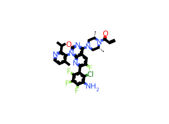 C=CC(=O)N1[C@H](C)CN(c2nc(=O)n(-c3c(C)ccnc3C(C)C)c3nc(-c4c(F)c(F)c(F)c(N)c4Cl)c(F)cc23)C[C@@H]1C